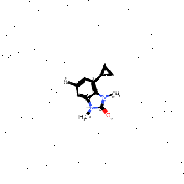 CCc1cc(C2CC2)c2c(c1)n(C)c(=O)n2C